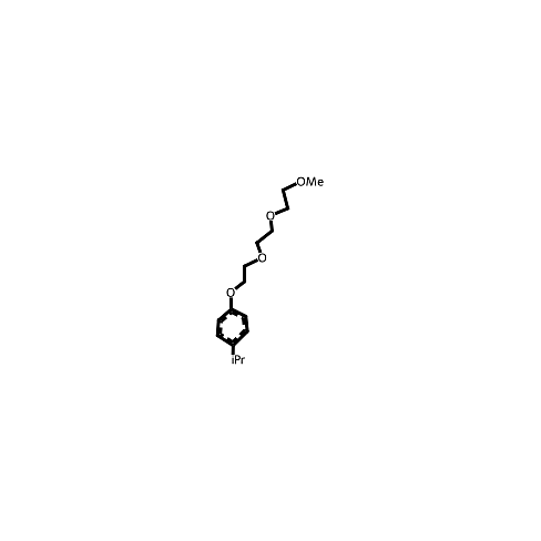 COCCOCCOCCOc1ccc(C(C)C)cc1